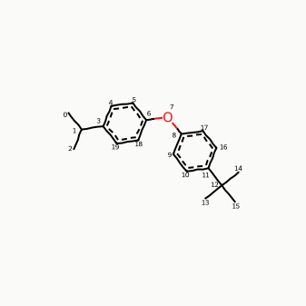 CC(C)c1ccc(Oc2ccc(C(C)(C)C)cc2)cc1